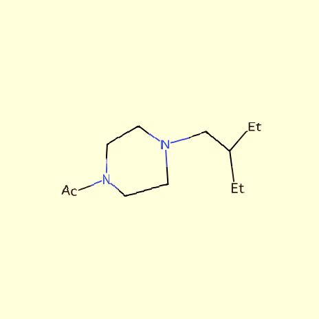 CCC(CC)CN1CCN(C(C)=O)CC1